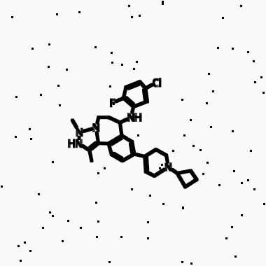 CC1=C2c3ccc(C4=CCN(C5CCC5)CC4)cc3C(Nc3cc(Cl)ccc3F)CCN2N(C)N1